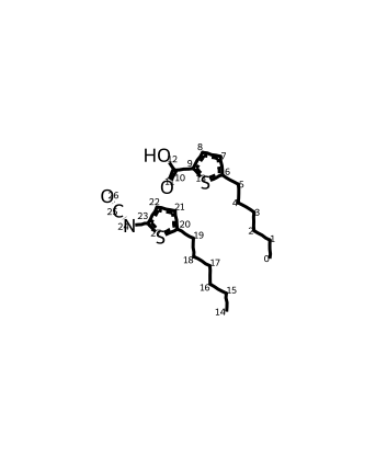 CCCCCCc1ccc(C(=O)O)s1.CCCCCCc1ccc(N=C=O)s1